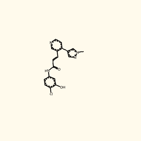 Cn1cc(-c2ccncc2C=CC(=O)Nc2ccc(Cl)c(O)c2)cn1